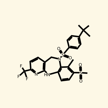 Cc1c(S(C)(=O)=O)ccc2c1N(S(=O)(=O)c1ccc(C(C)(C)C)cc1)Cc1ccc(C(F)(F)F)nc1N2